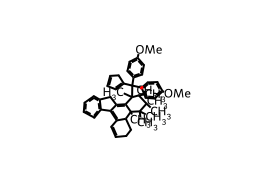 COc1ccc(C(C2=CC=CC2)(c2ccc(OC)cc2)C2(C)C3=C4Cc5ccccc5C4=C4C=CCCC4C3(C)C(C)(C)C(C)(C)C2(C)C)cc1